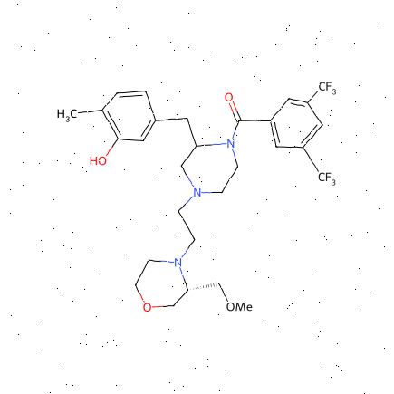 COC[C@@H]1COCCN1CCN1CCN(C(=O)c2cc(C(F)(F)F)cc(C(F)(F)F)c2)C(Cc2ccc(C)c(O)c2)C1